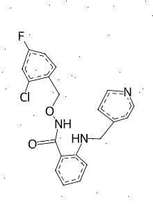 O=C(NOCc1ccc(F)cc1Cl)c1ccccc1NCc1ccncc1